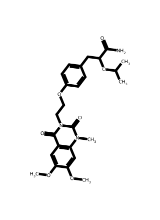 COc1cc2c(=O)n(CCOc3ccc(CC(OC(C)C)C(N)=O)cc3)c(=O)n(C)c2cc1OC